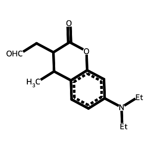 CCN(CC)c1ccc2c(c1)OC(=O)C(CC=O)C2C